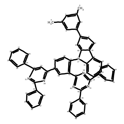 Cc1cc(C)cc(-c2ccc3c4ccccc4n(-c4ccc(-c5cc(-c6ccccc6)nc(-c6ccccc6)n5)cc4-c4nc(-c5ccccc5)nc(-c5ccccc5)n4)c3c2)c1